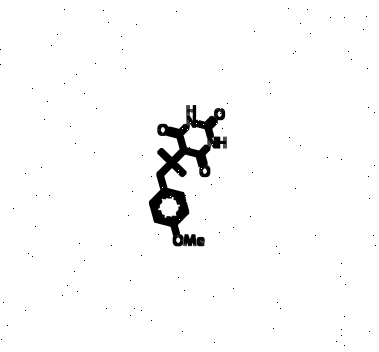 COc1ccc(CC(C)(C)C2C(=O)NC(=O)NC2=O)cc1